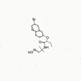 CCC(Oc1ccc2ncc(Br)cc2c1)C(=O)NC(C)(C)C=NO